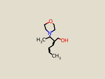 C/C=C\C=C(\CO)C(C)N1CCOCC1